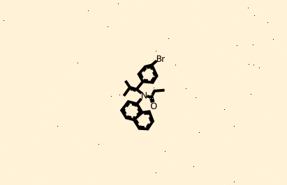 CCC(=O)N(C(=C(C)C)c1ccc(Br)cc1)c1cccc2ccccc12